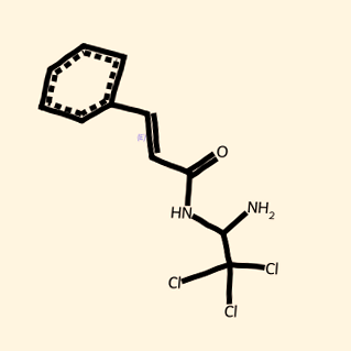 NC(NC(=O)/C=C/c1ccccc1)C(Cl)(Cl)Cl